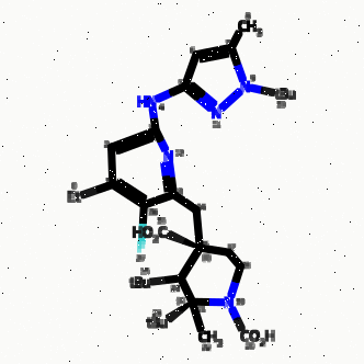 CCc1cc(Nc2cc(C)n(C(C)(C)C)n2)nc(C[C@]2(C(=O)O)CCN(C(=O)O)[C@@](C)(C(C)(C)C)C2C(C)(C)C)c1F